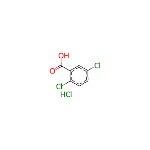 Cl.O=C(O)c1cc(Cl)ccc1Cl